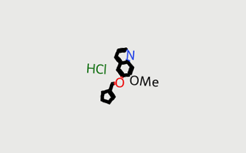 COc1cc2ncccc2cc1OCC1=CCCC1.Cl